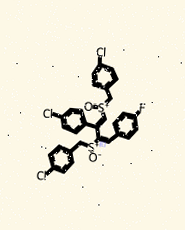 [O-][S+](C=C(/C(=C\c1ccc(F)cc1)[S+]([O-])Cc1ccc(Cl)cc1)c1ccc(Cl)cc1)Cc1ccc(Cl)cc1